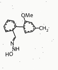 [CH2]c1ccc(-c2ccccc2C=NNO)c(OC)c1